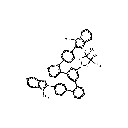 Cn1c(-c2ccc(-c3ccccc3-c3cc(B4OC(C)(C)C(C)(C)O4)cc(-c4ccccc4-c4ccc(-c5nc6ccccc6n5C)cc4)c3)cc2)nc2ccccc21